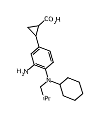 CC(C)CN(c1ccc(C2CC2C(=O)O)cc1N)C1CCCCC1